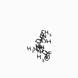 CCn1cc([C@]2(O)CCC[C@H](c3nc4c5cc(F)c(OC)cc5nc(N)n4n3)C2)cn1